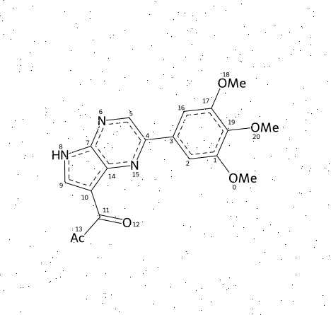 COc1cc(-c2cnc3[nH]cc(C(=O)C(C)=O)c3n2)cc(OC)c1OC